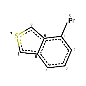 CC(C)c1cccc2[c]scc12